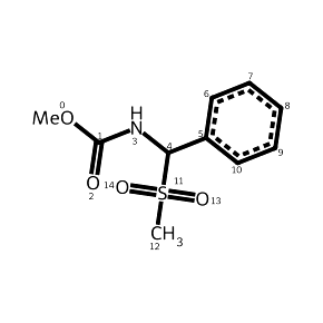 COC(=O)NC(c1ccccc1)S(C)(=O)=O